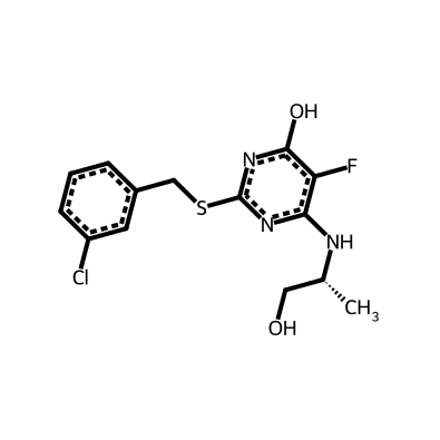 C[C@H](CO)Nc1nc(SCc2cccc(Cl)c2)nc(O)c1F